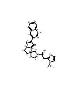 Cn1ccnc1CC(=O)N1CCC2(CCn3nc(-c4cnc5ccccc5c4)cc32)C1